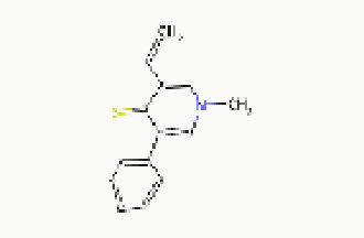 C=Cc1cn(C)cc(-c2ccccc2)c1=S